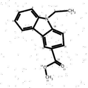 CCn1c2ccccc2c2cc(C(=O)OC)ccc21